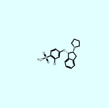 CS(=O)(=O)c1ccc(O[C@H]2c3ccccc3C[C@@H]2N2CCCC2)cc1Cl